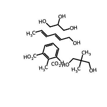 C/C=C/C=C/CO.CC(C)(CO)CO.Cc1c(C(=O)O)cccc1C(=O)O.OCC(O)CO